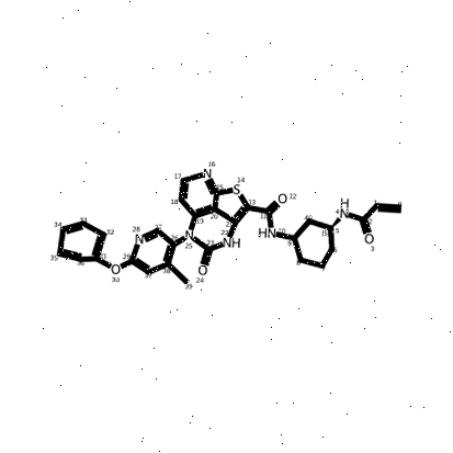 C=CC(=O)N[C@H]1CCCC(NC(=O)c2sc3nccc4c3c2NC(=O)N4c2cnc(Oc3ccccc3)cc2C)C1